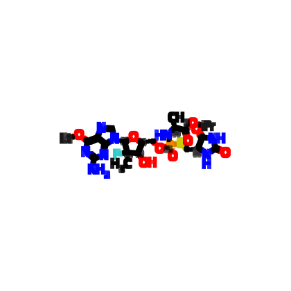 CCOc1nc(N)nc2c1ncn2[C@@H]1O[C@H](CO[P@@](=O)(N[C@@H](C)C(=O)OC(C)C)SC[C@H]2NC(=O)NC2=O)[C@@H](O)[C@@]1(C)F